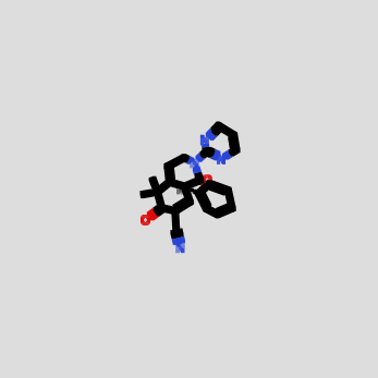 CC1(C)C(=O)C(C#N)=C[C@]2(c3ccccc3)C(=O)N(c3ncccn3)CC=C12